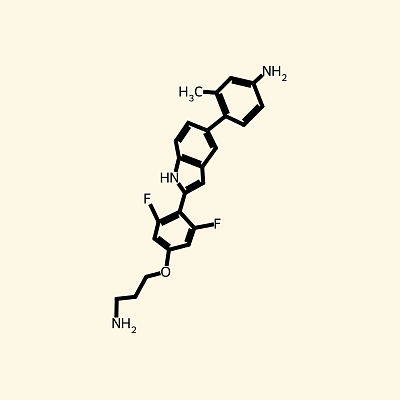 Cc1cc(N)ccc1-c1ccc2[nH]c(-c3c(F)cc(OCCCN)cc3F)cc2c1